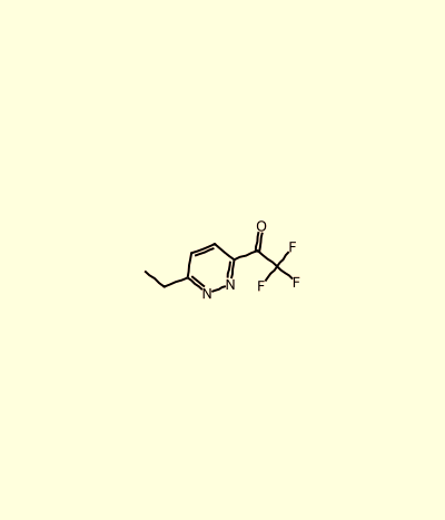 CCc1ccc(C(=O)C(F)(F)F)nn1